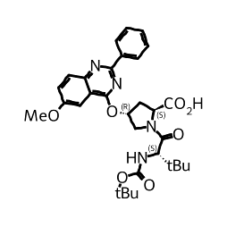 COc1ccc2nc(-c3ccccc3)nc(O[C@@H]3C[C@@H](C(=O)O)N(C(=O)[C@@H](NC(=O)OC(C)(C)C)C(C)(C)C)C3)c2c1